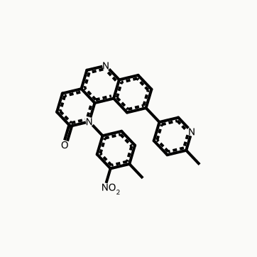 Cc1ccc(-c2ccc3ncc4ccc(=O)n(-c5ccc(C)c([N+](=O)[O-])c5)c4c3c2)cn1